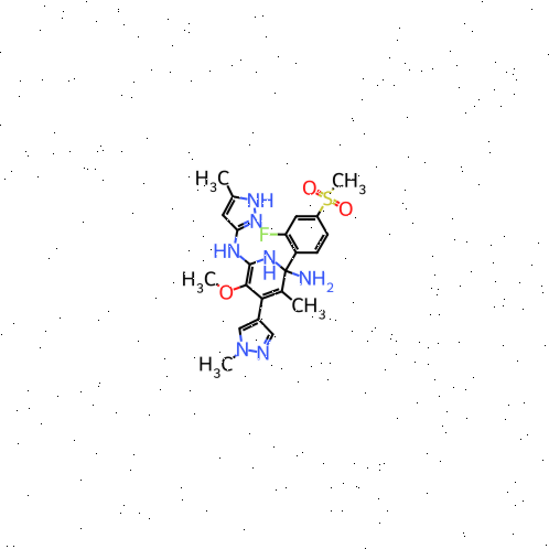 COC1=C(Nc2cc(C)[nH]n2)NC(N)(c2ccc(S(C)(=O)=O)cc2F)C(C)=C1c1cnn(C)c1